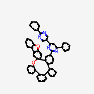 c1ccc(-c2cc(-c3cnc(-c4ccccc4)nc3)nc(-c3ccc4c(c3)-c3cc5oc6ccccc6c5cc3Oc3ccccc3-c3ccccc3-c3ccccc3-4)n2)cc1